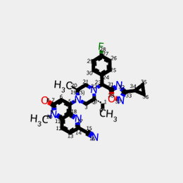 CC[C@@H]1CN(c2cc(=O)n(C)c3ccc(C#N)nc23)[C@@H](C)CN1C(c1ccc(F)cc1)c1nc(C2CC2)no1